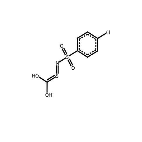 O=S(=O)(N=S=C(O)O)c1ccc(Cl)cc1